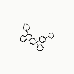 C1=CC(c2ccccc2)(c2ccc(N3CCCC3)cc2)Oc2cc(N3CCOCC3)c3ccccc3c21